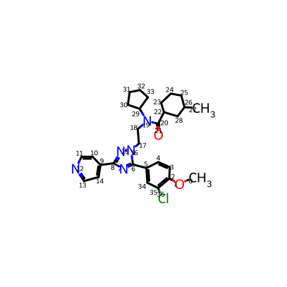 COc1ccc(-c2nc(-c3ccncc3)nn2CCN(C(=O)C2CCCC(C)C2)C2CCCC2)cc1Cl